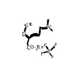 CCOC(=O)C(=CC=[N+](C)C)OCC.F[B-](F)(F)F